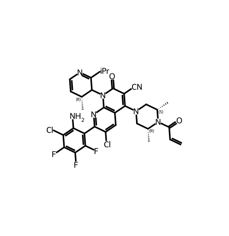 C=CC(=O)N1[C@H](C)CN(c2c(C#N)c(=O)n(C3C(C(C)C)=NC=C[C@H]3C)c3nc(-c4c(N)c(Cl)c(F)c(F)c4F)c(Cl)cc23)C[C@@H]1C